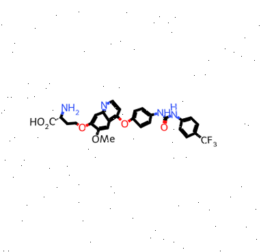 COc1cc2c(Oc3ccc(NC(=O)Nc4ccc(C(F)(F)F)cc4)cc3)ccnc2cc1OCC[C@@H](N)C(=O)O